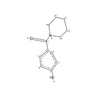 O=C(c1ccc([18F])cc1)N1CCCCC1